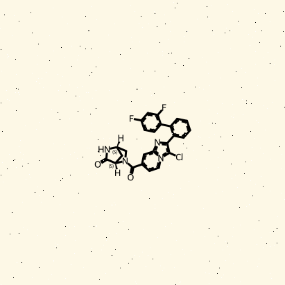 O=C1N[C@H]2C[C@@H]1N(C(=O)c1ccn3c(Cl)c(-c4ccccc4-c4ccc(F)cc4F)nc3c1)C2